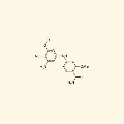 CCOc1nc(Nc2ccc(C(N)=O)c(OC)c2)cc(N)c1C#N